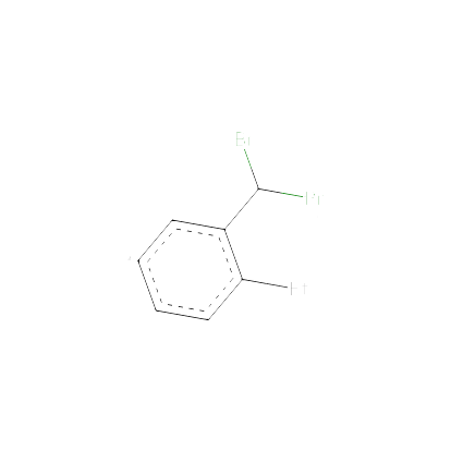 CCc1ccccc1C(Br)Br